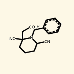 N#CC1CCCC(C#N)(CC(=O)O)N1Cc1ccccc1